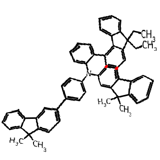 CCC1(CC)c2ccccc2-c2c(-c3ccccc3N(c3ccc(-c4ccc5c(c4)-c4ccccc4C5(C)C)cc3)c3ccc4c(c3)C(C)(C)c3ccccc3-4)cccc21